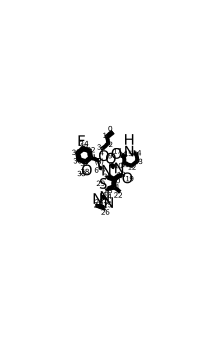 C=CCCO[C@@H](Cn1c(=O)n(C2CCCNC2=O)c(=O)c2c(C)c(-n3nccn3)sc21)c1cc(F)ccc1OC